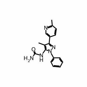 Cc1ccc(-c2nn(-c3ccccc3)c(NC(N)=O)c2C)cn1